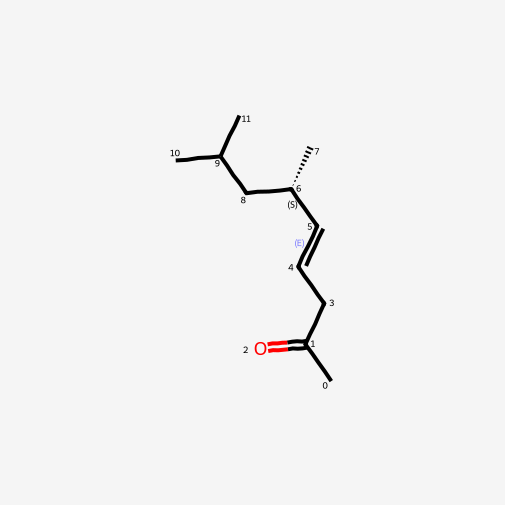 CC(=O)C/C=C/[C@@H](C)CC(C)C